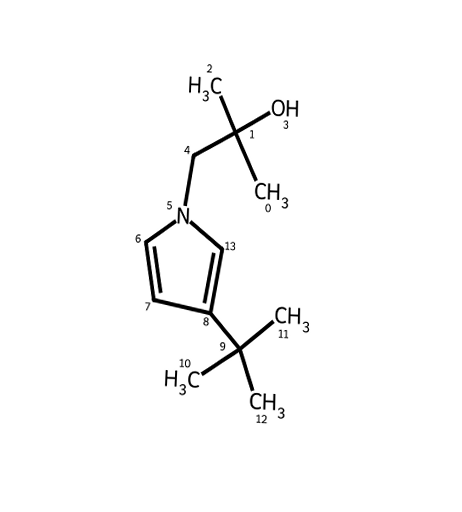 CC(C)(O)Cn1ccc(C(C)(C)C)c1